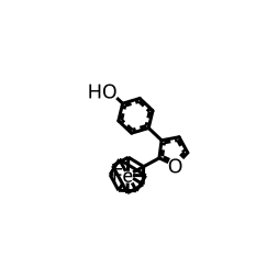 Oc1ccc(-c2ccoc2[C]23[CH]4[CH]5[CH]6[CH]2[Fe]56432789[CH]3[CH]2[CH]7[CH]8[CH]39)cc1